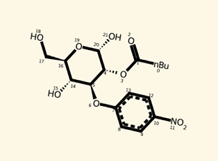 CCCCC(=O)O[C@@H]1[C@@H](Oc2ccc([N+](=O)[O-])cc2)[C@H](O)[C@@H](CO)O[C@@H]1O